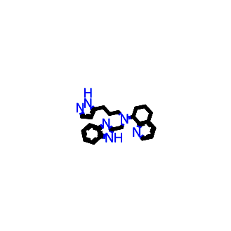 c1cnc2c(c1)CCCC2N(CCCc1ccn[nH]1)Cc1nc2ccccc2[nH]1